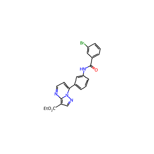 CCOC(=O)c1cnn2c(-c3cccc(NC(=O)c4cccc(Br)c4)c3)ccnc12